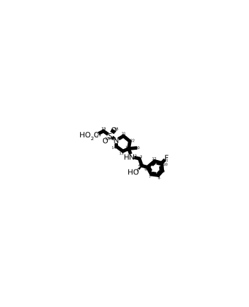 CC1(NC[C@H](O)c2cccc(F)c2)CCN(S(=O)(=O)CC(=O)O)CC1